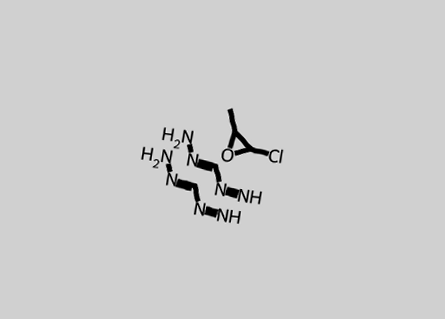 CC1OC1Cl.N=NC=NN.N=NC=NN